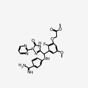 COC(=O)COc1cc(OC)cc(C(Nc2ccc(C(=N)N)cc2)c2nn(-c3ncccn3)c(=O)[nH]2)c1F